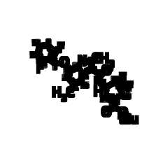 Cc1cc(OCc2c(F)cccc2F)c2nc(C)c(C(=O)NC3CN(C(=O)OC(C)(C)C)CC(F)(F)C3)n2c1